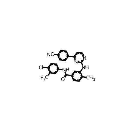 Cc1ccc(C(=O)Nc2ccc(Cl)c(C(F)(F)F)c2)cc1Nc1nccc(-c2ccc(C#N)cc2)n1